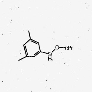 CCCO[SiH](C)c1cc(C)cc(C)c1